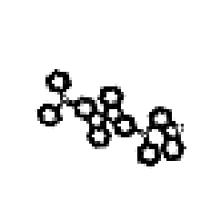 c1ccc(N(c2ccccc2)c2ccc3c(c2)-c2ccccc2C32c3ccccc3-c3cc(N(c4ccccc4)c4cccc5oc6ccccc6c45)ccc32)cc1